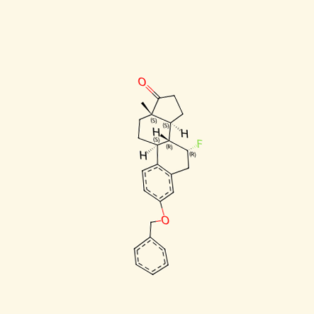 C[C@]12CC[C@@H]3c4ccc(OCc5ccccc5)cc4C[C@@H](F)[C@H]3[C@@H]1CCC2=O